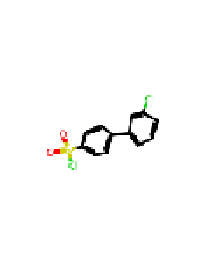 O=S(=O)(Cl)c1ccc(-c2cccc(Cl)c2)cc1